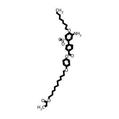 C=CC(=O)OCCCCCCCCCCCOc1ccc(OC(=O)c2ccc(-c3cc(N)c(OCCCCCCCC)cc3[N+](=O)[O-])cc2)cc1